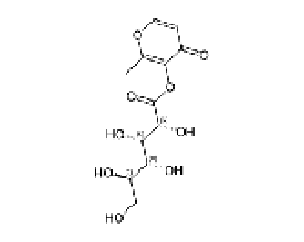 Cc1occc(=O)c1OC(=O)[C@H](O)[C@@H](O)[C@H](O)[C@H](O)CO